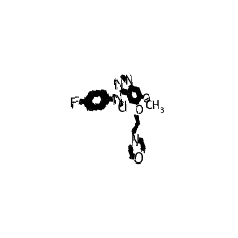 COc1cc2ncnc(N(Cl)c3ccc(F)cc3)c2cc1OCCCN1CCOCC1